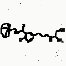 CC(CO)NCCCc1ccc(Cl)c(C(=O)NCC23CC4CC(CC(C4)C2)C3)c1